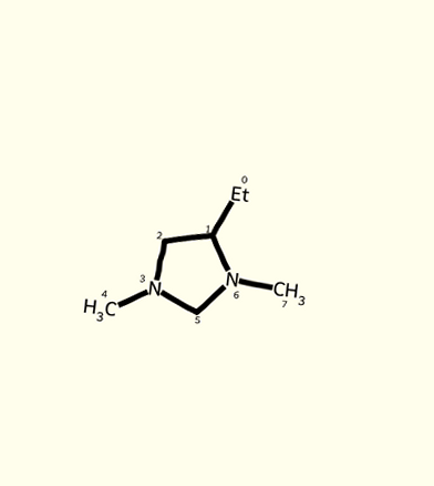 CCC1CN(C)CN1C